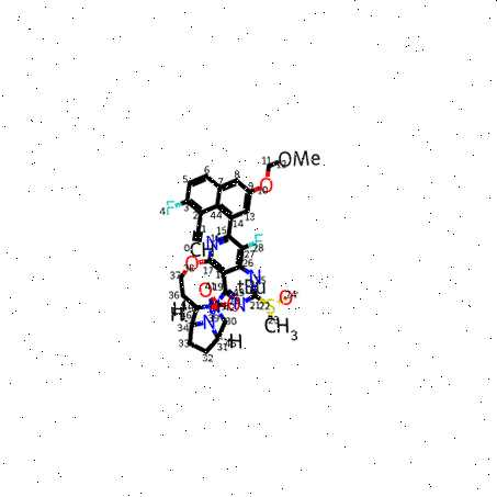 C#Cc1c(F)ccc2cc(OCOC)cc(-c3nc4c5c(nc([S+](C)[O-])nc5c3F)N3C[C@H]5CC[C@@H]([C@H]3CCO4)N5C(=O)OC(C)(C)C)c12